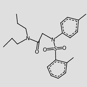 CCCN(CCC)C(=O)CN(c1ccc(C)cc1)S(=O)(=O)c1ccccc1C